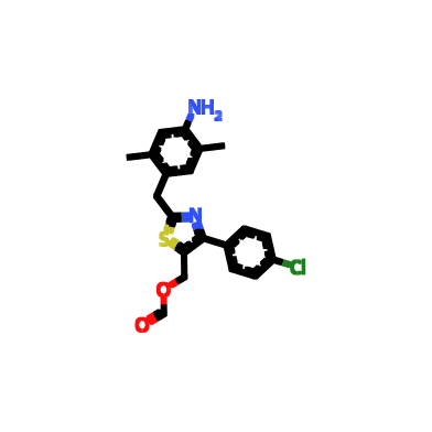 Cc1cc(Cc2nc(-c3ccc(Cl)cc3)c(COC=O)s2)c(C)cc1N